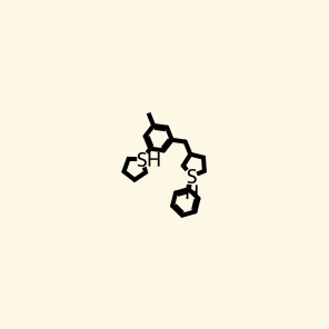 Cc1cc(CC2CC[SH](c3ccccc3)C2)cc([SH]2CCCC2)c1